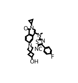 CN(c1nc(-c2ccc(F)cc2)c(C#N)s1)c1cn(C2CC2)c(=O)c2ccc(N3CC4(CC(O)C4)C3)cc12